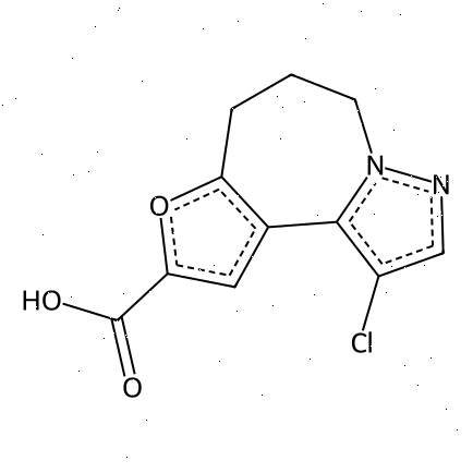 O=C(O)c1cc2c(o1)CCCn1ncc(Cl)c1-2